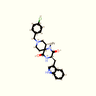 CCCN1C(=O)[C@@H](Cc2c[nH]c3ccccc23)NC(=O)C12CCN(Cc1ccc(Cl)cc1)CC2